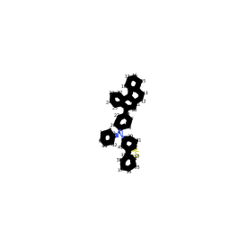 c1ccc(N(c2ccc(-c3cc4ccc5ccccc5c4c4ccccc34)cc2)c2ccc3sc4ccccc4c3c2)cc1